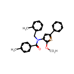 Cc1ccc(C(=O)N(Cc2ccccc2C)c2cc(-c3ccccc3)sc2OC(=O)O)cc1